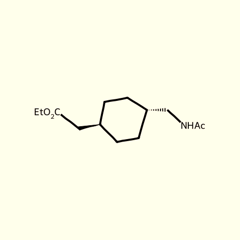 CCOC(=O)C[C@H]1CC[C@H](CNC(C)=O)CC1